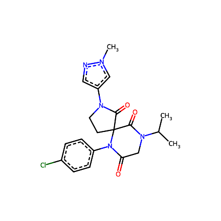 CC(C)N1CC(=O)N(c2ccc(Cl)cc2)C2(CCN(c3cnn(C)c3)C2=O)C1=O